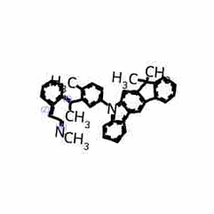 C/N=C/C=c1/cccc/c1=C(/C)c1cc(-n2c3ccccc3c3cc4c(cc32)C(C)(C)c2ccccc2-4)ccc1C